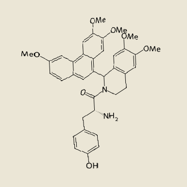 COc1ccc2cc(C3c4cc(OC)c(OC)cc4CCN3C(=O)[C@H](N)Cc3ccc(O)cc3)c3cc(OC)c(OC)cc3c2c1